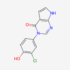 O=c1c2cc[nH]c2ncn1-c1ccc(O)c(Cl)c1